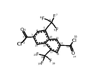 O=C(Cl)c1cc(C(F)(F)F)c2cc(C(=O)Cl)cc(C(F)(F)F)c2c1